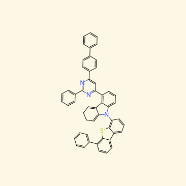 C1=c2c(n(-c3cccc4c3sc3c(-c5ccccc5)cccc34)c3cccc(-c4cc(-c5ccc(-c6ccccc6)cc5)nc(-c5ccccc5)n4)c23)=CCC1